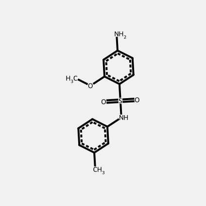 COc1cc(N)ccc1S(=O)(=O)Nc1cccc(C)c1